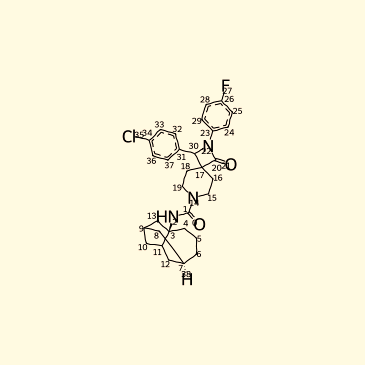 O=C(N[C@@]12CCC[C@@H]3CC(CC1C3)C2)N1CCC2(CC1)C(=O)N(c1ccc(F)cc1)C2c1ccc(Cl)cc1